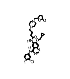 O=C(C=CCN1CCN(CC2CCC(=O)O2)CC1)Nc1cc2c(Nc3ccc(F)c(Cl)c3)ncnc2cc1OCC1CC1